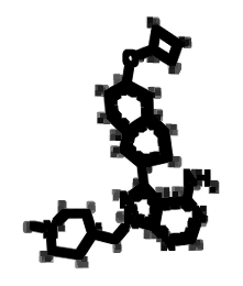 CN1CCC(Cn2nc(-c3ccc4cc(OC5CCC5)ccc4c3)c3c(N)ncnc32)CC1